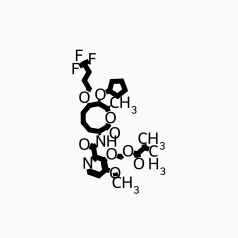 COc1ccnc(C(=O)N[C@H]2CCC[C@H](OCCCC(F)(F)F)[C@@H](OC3CCCC3)[C@H](C)OC2=O)c1OCOC(=O)C(C)C